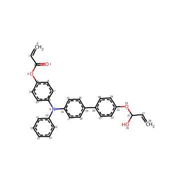 C=CC(=O)Oc1ccc(N(c2ccccc2)c2ccc(-c3ccc(OC(O)C=C)cc3)cc2)cc1